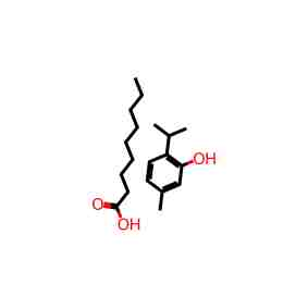 CCCCCCCCC(=O)O.Cc1ccc(C(C)C)c(O)c1